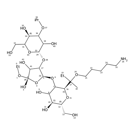 CCO[C@@]1(O)O[C@H](OC2C(O)[C@H](O)[C@@H](CO)O[C@@H]2C(C)(CC)OCCCCCN)C(O[C@@H]2OC(CO)[C@@H](O)C(OC(C)C)C2O)C1O